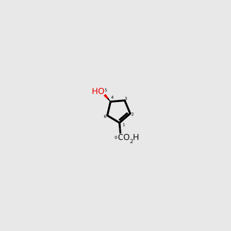 O=C(O)C1=CC[C@H](O)C1